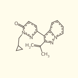 C=C(C)c1nn2ccccc2c1-c1ccc(=O)n(CC2CC2)n1